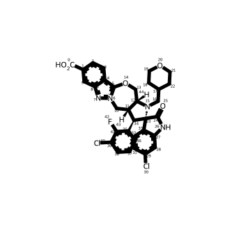 O=C(O)c1ccc2c3n(nc2c1)C[C@@H]1[C@H](CO3)N(CC2CCOCC2)[C@@]2(C(=O)Nc3cc(Cl)ccc32)[C@H]1c1cccc(Cl)c1F